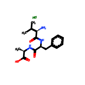 CC(C)[C@H](N)C(=O)N[C@@H](Cc1ccccc1)C(=O)N[C@@H](C)C(=O)O.Cl